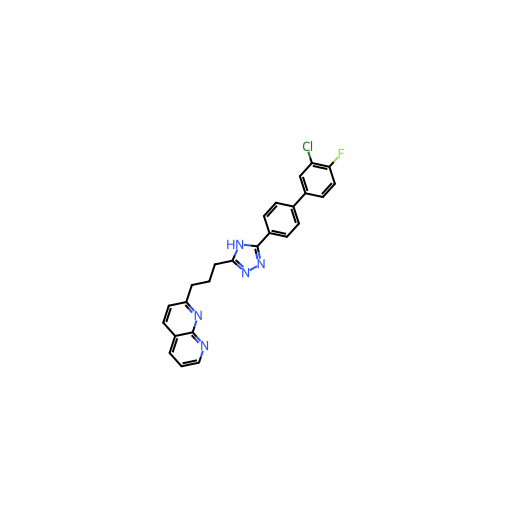 Fc1ccc(-c2ccc(-c3nnc(CCCc4ccc5cccnc5n4)[nH]3)cc2)cc1Cl